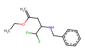 C=C(CC(NCc1ccccc1)C(F)F)OCC